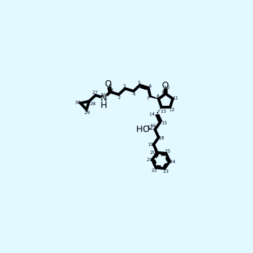 O=C(CCC/C=C\C[C@H]1C(=O)CC[C@@H]1/C=C/[C@@H](O)CCc1ccccc1)NCC1CC1